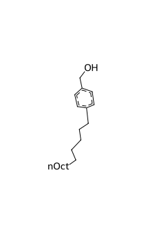 CCCCCCCCCCCCCc1ccc(CO)cc1